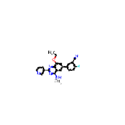 CCOc1cc(-c2ccc(F)c(C#N)c2)cc2c(NC)nc(-c3cccnc3)nc12